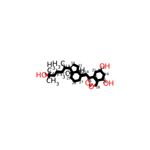 C[C@H](CCCC(C)(C)O)[C@H]1CC[C@H]2C(=CC3OOCC4=C3C[C@@H](O)C[C@@H]4O)CCC[C@]12C